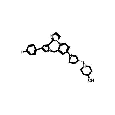 OC1CCN(C[C@@H]2CCN(c3ccc4c(c3)Cn3cc(-c5ccc(F)cc5)cc3-c3nccn3-4)C2)CC1